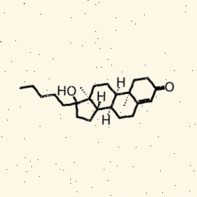 CCCCCC1(O)CC[C@H]2[C@@H]3CCC4=CC(=O)CC[C@]4(C)[C@@H]3CC[C@@]21C